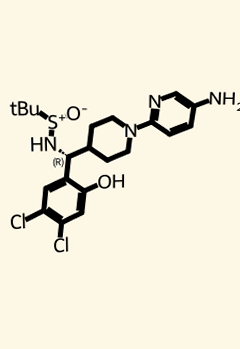 CC(C)(C)[S+]([O-])N[C@@H](c1cc(Cl)c(Cl)cc1O)C1CCN(c2ccc(N)cn2)CC1